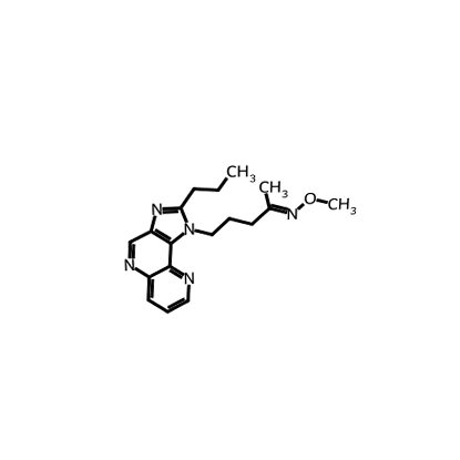 CCCc1nc2cnc3cccnc3c2n1CCC/C(C)=N/OC